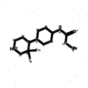 CC(C)(C)OC(=O)NC1CCN(C2CCNCC2(F)F)CC1